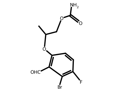 CC(COC(N)=O)Oc1ccc(F)c(Br)c1C=O